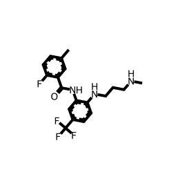 CNCCCNc1ccc(C(F)(F)F)cc1NC(=O)c1cc(C)ccc1F